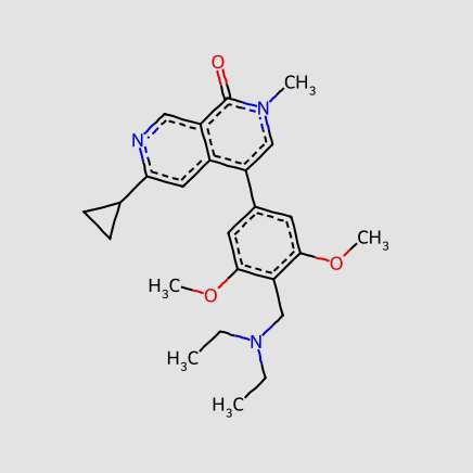 CCN(CC)Cc1c(OC)cc(-c2cn(C)c(=O)c3cnc(C4CC4)cc23)cc1OC